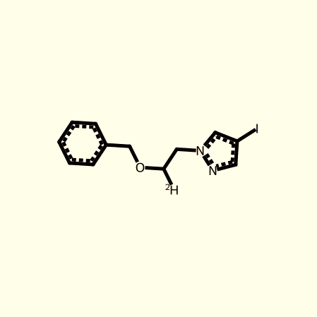 [2H]C(Cn1cc(I)cn1)OCc1ccccc1